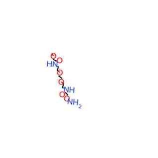 COCC(=O)NCCOCCOCCNC(=O)CON